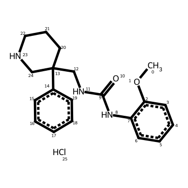 COc1ccccc1NC(=O)NCC1(c2ccccc2)CCCNC1.Cl